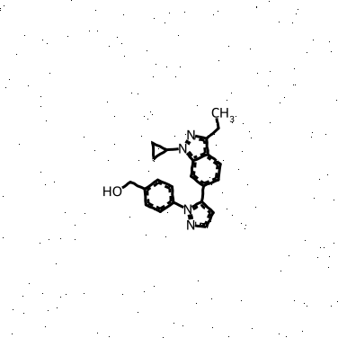 CCc1nn(C2CC2)c2cc(-c3ccnn3-c3ccc(CO)cc3)ccc12